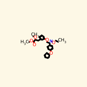 CCCON=C(COc1cccc(CC(OCC)C(=O)OCC)c1)c1ccc(Oc2ccccc2)cc1